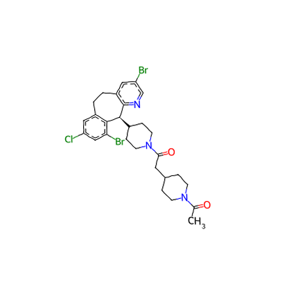 CC(=O)N1CCC(CC(=O)N2CCC([C@@H]3c4ncc(Br)cc4CCc4cc(Cl)cc(Br)c43)CC2)CC1